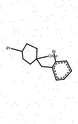 COC1(Cc2ccccc2Br)CCC(C(C)C)CC1